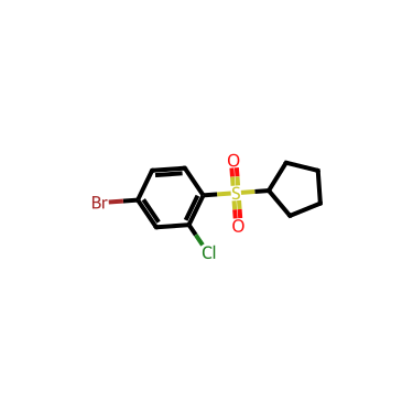 O=S(=O)(c1ccc(Br)cc1Cl)C1CCCC1